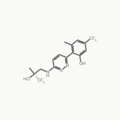 Cc1cc(C(F)(F)F)cc(O)c1-c1ccc(NC[C@](C)(O)C(F)(F)F)nn1